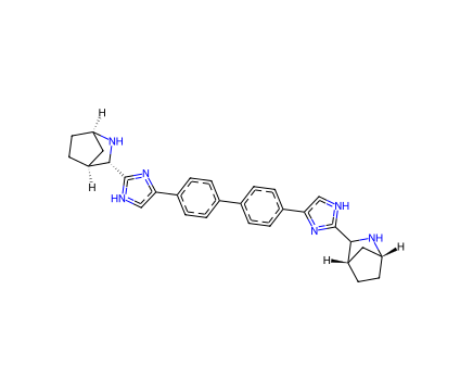 c1cc(-c2c[nH]c(C3N[C@@H]4CC[C@H]3C4)n2)ccc1-c1ccc(-c2c[nH]c([C@H]3N[C@@H]4CC[C@H]3C4)n2)cc1